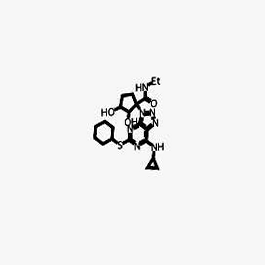 CCNC(=O)C1(n2nnc3c(NC4CC4)nc(SC4CCCCC4)nc32)CCC(O)C1O